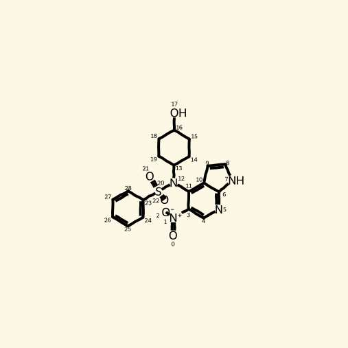 O=[N+]([O-])c1cnc2[nH]ccc2c1N(C1CCC(O)CC1)S(=O)(=O)c1ccccc1